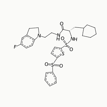 O=C(NCCN1CCc2cc(F)ccc21)[C@H](CC1CCCCC1)NS(=O)(=O)c1ccc(S(=O)(=O)c2ccccc2)s1